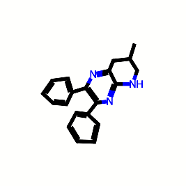 CC1CNc2nc(-c3ccccc3)c(-c3ccccc3)nc2C1